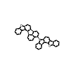 c1ccc2c(c1)oc1c2ccc2c1c1ccccc1n2-c1ccc2c3c(cccc13)-c1c-2ccc2oc3ccccc3c12